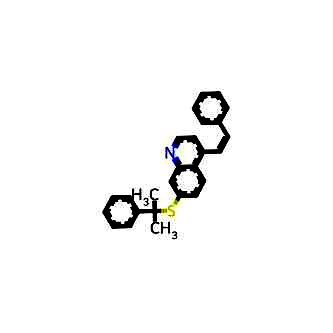 CC(C)(Sc1ccc2c(/C=C\c3ccccc3)ccnc2c1)c1ccccc1